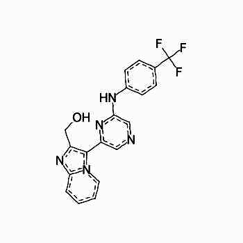 OCc1nc2ccccn2c1-c1cncc(Nc2ccc(C(F)(F)F)cc2)n1